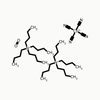 CCCC[N+](CCCC)(CCCC)CCCC.CCCC[N+](CCCC)(CCCC)CCCC.N#[C][Co-2]([C]#N)([C]#N)[C]#N.O=O